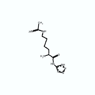 CC(=N)NCCCCC(N)C(=O)Nc1nnn[nH]1